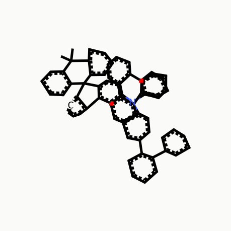 CC1(C)c2ccccc2C2(c3ccccc3-c3cc(N(c4ccc(-c5ccccc5-c5ccccc5)cc4)c4ccccc4-c4ccccc4-c4ccccc4-c4ccccc4)ccc32)c2ccccc21